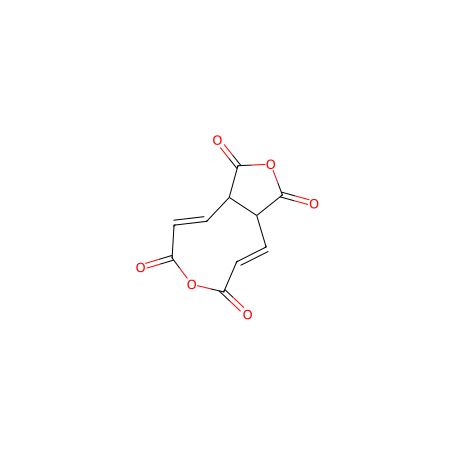 O=C1/C=C/C2C(=O)OC(=O)C2/C=C/C(=O)O1